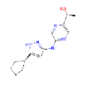 C[C@H](O)c1cnc(Nc2cc([C@H]3C[CH]CC3)[nH]n2)cn1